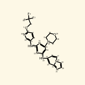 FC(F)(F)COc1ccc(Nc2nc(Nc3ccn4ccnc4c3)cc(N3CCOCC3)n2)cn1